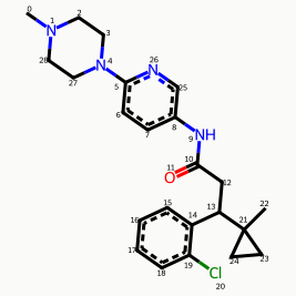 CN1CCN(c2ccc(NC(=O)CC(c3ccccc3Cl)C3(C)CC3)cn2)CC1